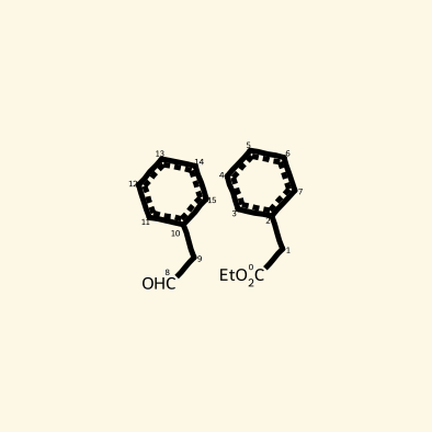 CCOC(=O)Cc1ccccc1.O=CCc1ccccc1